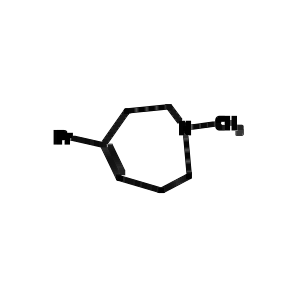 CC(C)C1=CCCN(C)CC1